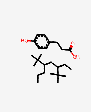 CCCC(CC(CC)C(C)(C)C)C(C)(C)C.O=C(O)CCc1ccc(O)cc1